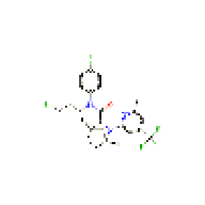 Cc1cc(C(F)(F)F)cc(N2[C@@H]3CC[C@@H](C3)[C@H]2C(=O)N(CCCBr)c2ccc(F)cc2)n1